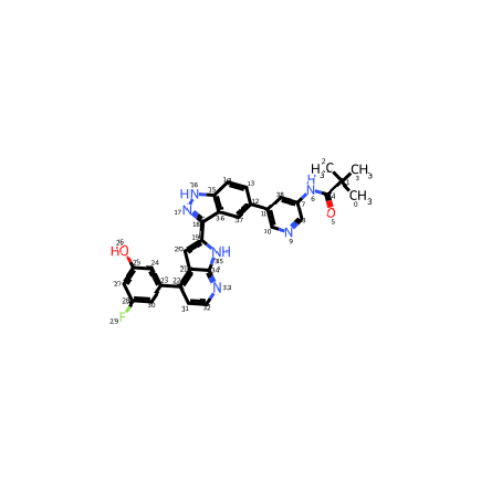 CC(C)(C)C(=O)Nc1cncc(-c2ccc3[nH]nc(-c4cc5c(-c6cc(O)cc(F)c6)ccnc5[nH]4)c3c2)c1